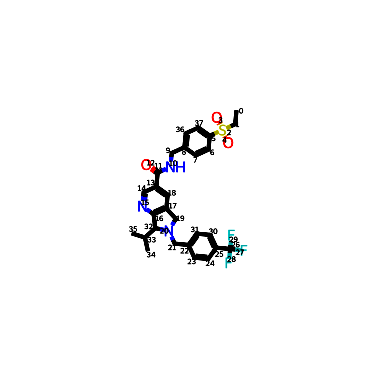 CCS(=O)(=O)c1ccc(CNC(=O)c2cnc3c(c2)CN(Cc2ccc(C(F)(F)F)cc2)C3C(C)C)cc1